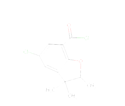 CC1Oc2c(C(=O)Cl)cc(Cl)cc2C1(C)C